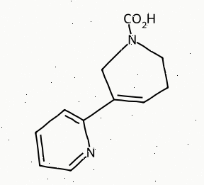 O=C(O)N1CCC=C(c2ccccn2)C1